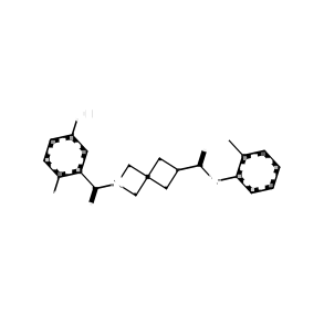 Cc1ccccc1NC(=O)C1CC2(C1)CN(C(=O)c1cc(O)ccc1F)C2